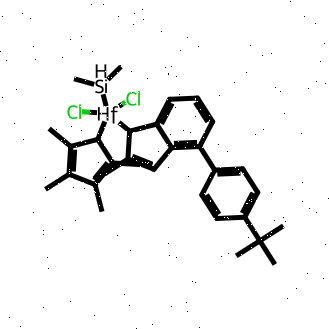 CC1=Cc2c(-c3ccc(C(C)(C)C)cc3)cccc2[CH]1[Hf]([Cl])([Cl])([CH]1C(C)=C(C)C(C)=C1C)[SiH](C)C